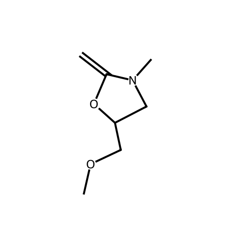 C=C1OC(COC)CN1C